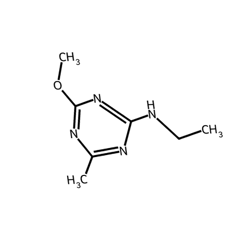 CCNc1nc(C)nc(OC)n1